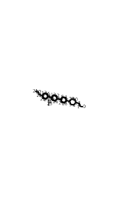 C/C=C/C1CCC(c2ccc(-c3ccc(-c4ccc(CCC)cc4)c(F)c3)cc2)CC1